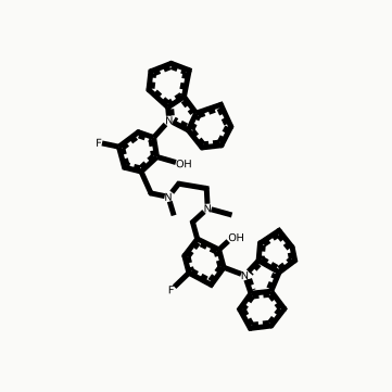 CN(CCN(C)Cc1cc(F)cc(-n2c3ccccc3c3ccccc32)c1O)Cc1cc(F)cc(-n2c3ccccc3c3ccccc32)c1O